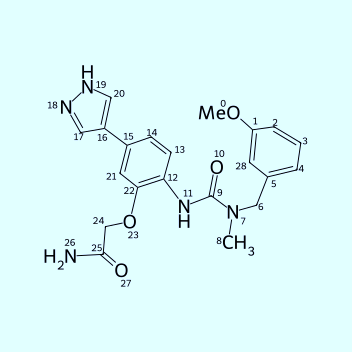 COc1cccc(CN(C)C(=O)Nc2ccc(-c3cn[nH]c3)cc2OCC(N)=O)c1